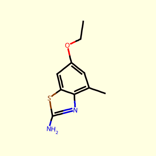 CCOc1cc(C)c2nc(N)sc2c1